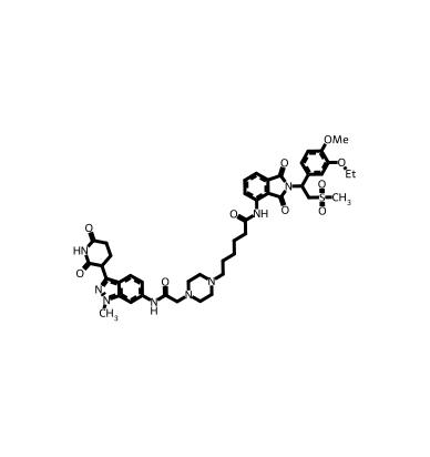 CCOc1cc(C(CS(C)(=O)=O)N2C(=O)c3cccc(NC(=O)CCCCCN4CCN(CC(=O)Nc5ccc6c(C7CCC(=O)NC7=O)nn(C)c6c5)CC4)c3C2=O)ccc1OC